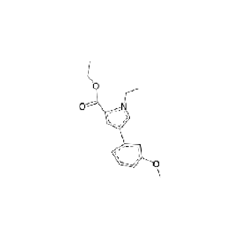 CCOC(=O)c1cc(-c2cccc(OC)c2)cn1CC